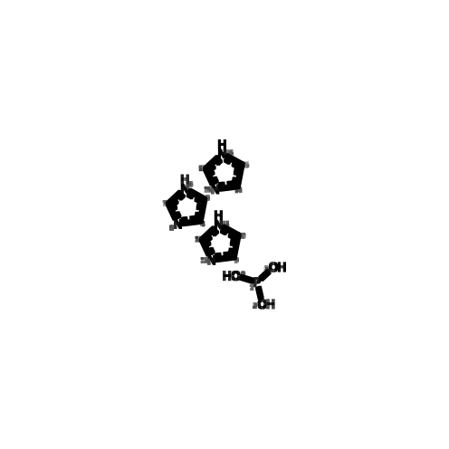 OP(O)O.c1c[nH]cn1.c1c[nH]cn1.c1c[nH]cn1